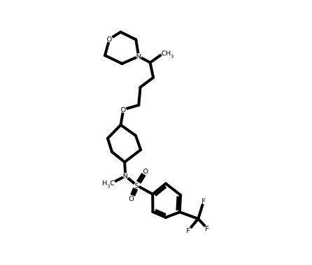 CC(CCCOC1CCC(N(C)S(=O)(=O)c2ccc(C(F)(F)F)cc2)CC1)N1CCOCC1